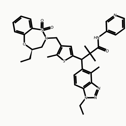 CC[C@@H]1CN(Cc2cc(C(c3ccc4c(nnn4CC)c3C)C(C)(C)C(=O)Nc3cccnc3)sc2C)S(=O)(=O)c2ccccc2O1